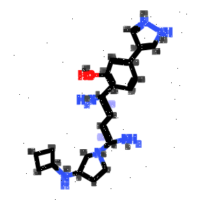 N/C(=C\C=C(/N)N1CCC(NC2CCC2)C1)c1ccc(-c2cn[nH]c2)cc1O